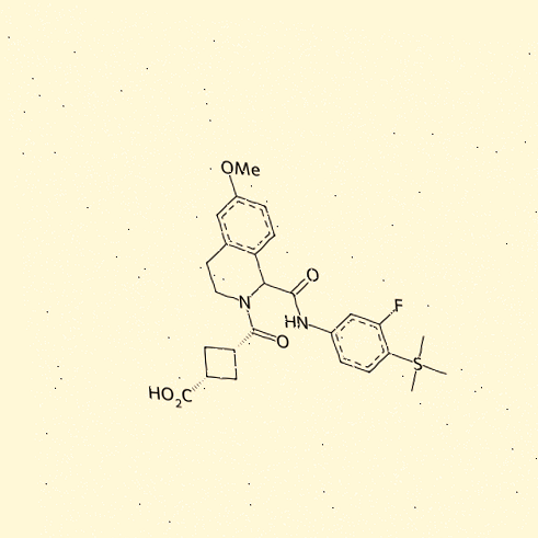 COc1ccc2c(c1)CCN(C(=O)[C@H]1C[C@@H](C(=O)O)C1)C2C(=O)Nc1ccc(S(C)(C)C)c(F)c1